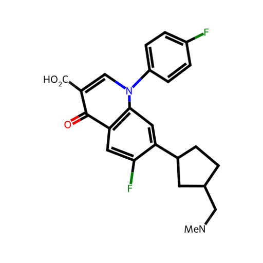 CNCC1CCC(c2cc3c(cc2F)c(=O)c(C(=O)O)cn3-c2ccc(F)cc2)C1